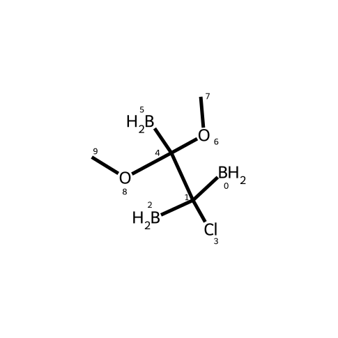 BC(B)(Cl)C(B)(OC)OC